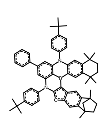 CC(C)(C)c1ccc(N2c3cc4c(cc3B3c5c2cc(-c2ccccc2)cc5N(c2ccc(C(C)(C)C)cc2)c2oc5cc6c(cc5c23)C2(C)CCC6(C)C2)C(C)(C)CCC4(C)C)cc1